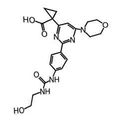 O=C(NCCO)Nc1ccc(-c2nc(N3CCOCC3)cc(C3(C(=O)O)CC3)n2)cc1